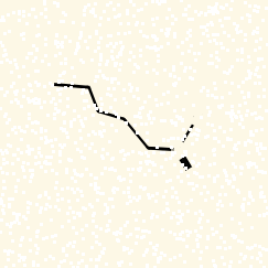 CCCCC[P](=O)O